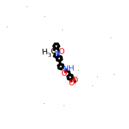 Cc1ccccc1C(=O)N1CCc2cc(-c3cccc(NC(=O)Cc4ccc5c(c4)OCO5)c3)ccc21